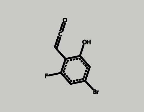 O=C=Cc1c(O)cc(Br)cc1F